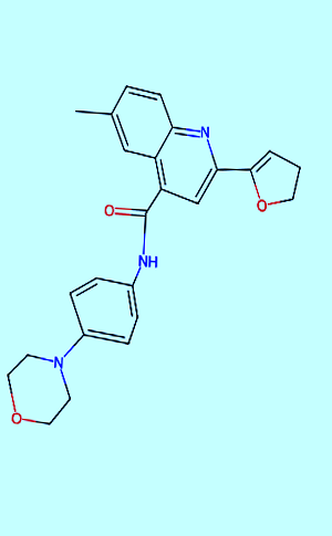 Cc1ccc2nc(C3=CCCO3)cc(C(=O)Nc3ccc(N4CCOCC4)cc3)c2c1